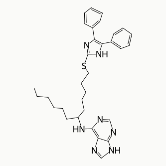 CCCCCCC(CCCCCSc1nc(-c2ccccc2)c(-c2ccccc2)[nH]1)Nc1ncnc2[nH]cnc12